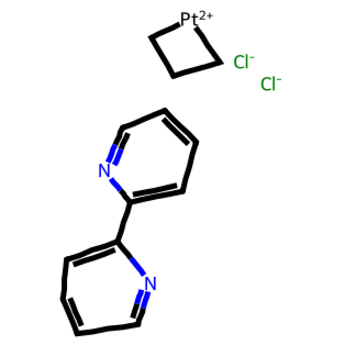 C1[CH2][Pt+2][CH2]1.[Cl-].[Cl-].c1ccc(-c2ccccn2)nc1